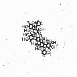 Bc1c(O)c(O)c2c(c1O)c1c(O)c(-c3c(O)c4c5c(c3O)c3c(C)c(O)c(O)c6c3n5C3=C(O6)c5c(n(-c6ccccc6)c6c(O)c(C)c(O)c(O)c56)C(O)C3OO4)c(O)c(O)c1n2C1=CC=CCC1